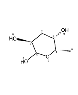 C[C@@H]1OC(O)[C@@H](O)C[C@@H]1O